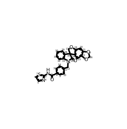 O=C(Nc1nccs1)c1ccc(CN2C(=O)C3(COc4cc5c(cc43)OCO5)c3ccccc32)cc1